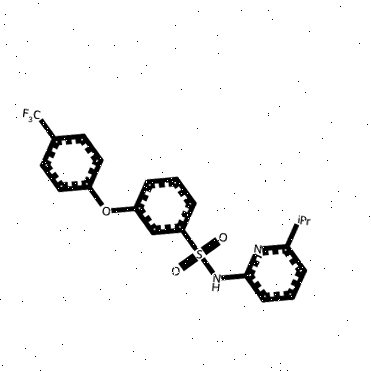 CC(C)c1cccc(NS(=O)(=O)c2cccc(Oc3ccc(C(F)(F)F)cc3)c2)n1